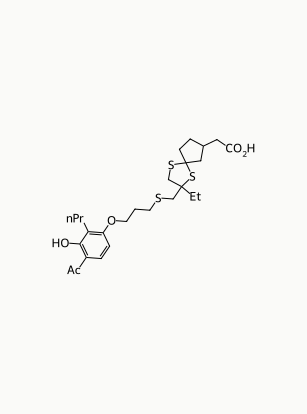 CCCc1c(OCCCSCC2(CC)CSC3(CCC(CC(=O)O)C3)S2)ccc(C(C)=O)c1O